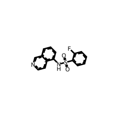 O=S(=O)(Nc1cccc2cnccc12)c1ccccc1F